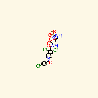 CS(=O)(=O)c1nc(C[C@H](NC(=O)c2c(Cl)cc3c(c2Cl)CCN(C(=O)c2ccc(Cl)cc2)C3)C(=O)O)c[nH]1